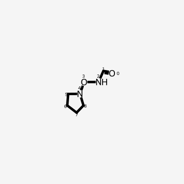 O=CNON1CCCC1